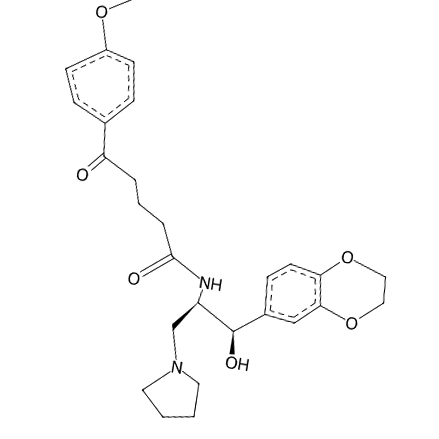 COc1ccc(C(=O)CCCC(=O)N[C@H](CN2CCCC2)[C@H](O)c2ccc3c(c2)OCCO3)cc1